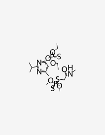 CCOP(=S)(OCC)Oc1cc(C)nc(C(C)C)n1.CNC(=O)CSP(=S)(OC)OC